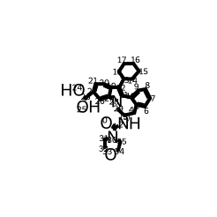 O=C(N[C@H]1Cc2ccccc2-c2c(C3CCCCC3)c3ccc(C(O)O)cc3n2C1)N1CCOCC1